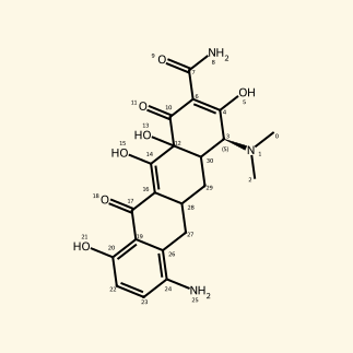 CN(C)[C@@H]1C(O)=C(C(N)=O)C(=O)C2(O)C(O)=C3C(=O)c4c(O)ccc(N)c4CC3CC12